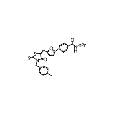 CCCNC(=O)c1ccc(-c2ccc(/C=C3/SC(=S)N(Cc4ccc(C)cc4)C3=O)o2)cc1